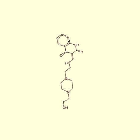 O=C1Nc2ccccc2C(=O)C1=CNCCN1CCN(CCO)CC1